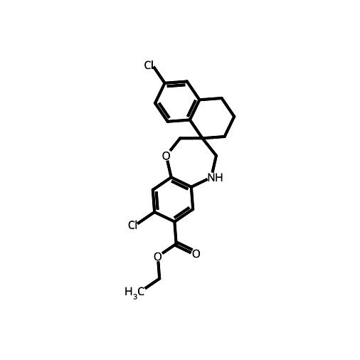 CCOC(=O)c1cc2c(cc1Cl)OCC1(CCCc3cc(Cl)ccc31)CN2